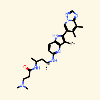 Cc1c(-c2[nH]c3ccc(N[C@H](C)CC(C)NC(=O)CCN(C)C)nc3c2C(C)C)cn2ncnc2c1C